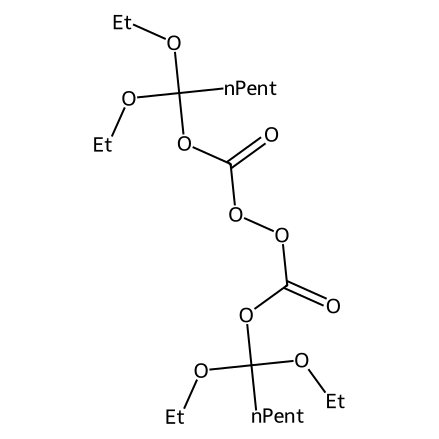 CCCCCC(OCC)(OCC)OC(=O)OOC(=O)OC(CCCCC)(OCC)OCC